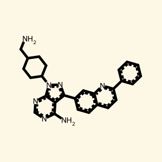 NCC1CCC(n2nc(-c3ccc4ccc(-c5ccccc5)nc4c3)c3c(N)ncnc32)CC1